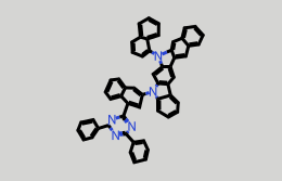 c1ccc(-c2nc(-c3ccccc3)nc(-c3cc(-n4c5ccccc5c5cc6c7cc8ccccc8cc7n(-c7cccc8ccccc78)c6cc54)cc4ccccc34)n2)cc1